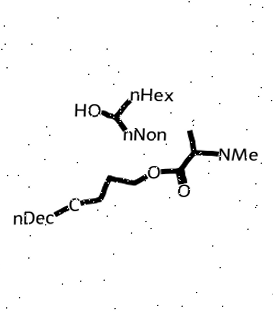 CCCCCCCCCC(O)CCCCCC.CCCCCCCCCCCCCCOC(=O)C(C)NC